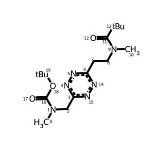 CN(Cc1nnc(CCN(C)C(=O)C(C)(C)C)nn1)C(=O)OC(C)(C)C